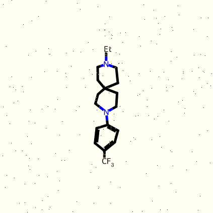 CCN1CCC2(CC1)CCN(c1ccc(C(F)(F)F)cc1)CC2